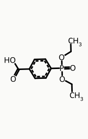 CCOP(=O)(OCC)c1ccc(C(=O)O)cc1